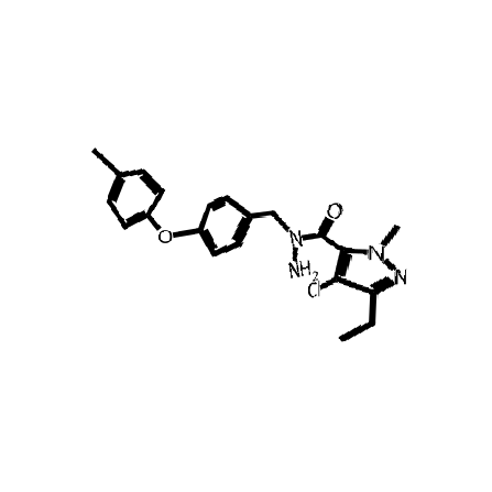 CCc1nn(C)c(C(=O)N(N)Cc2ccc(Oc3ccc(C)cc3)cc2)c1Cl